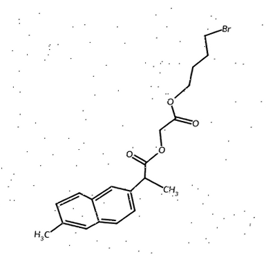 Cc1ccc2cc(C(C)C(=O)OCC(=O)OCCCCBr)ccc2c1